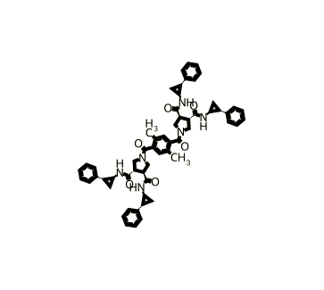 Cc1cc(C(=O)N2C[C@@H](C(=O)N[C@H]3C[C@@H]3c3ccccc3)[C@H](C(=O)N[C@H]3C[C@@H]3c3ccccc3)C2)c(C)cc1C(=O)N1C[C@@H](C(=O)N[C@H]2C[C@@H]2c2ccccc2)[C@H](C(=O)N[C@H]2C[C@@H]2c2ccccc2)C1